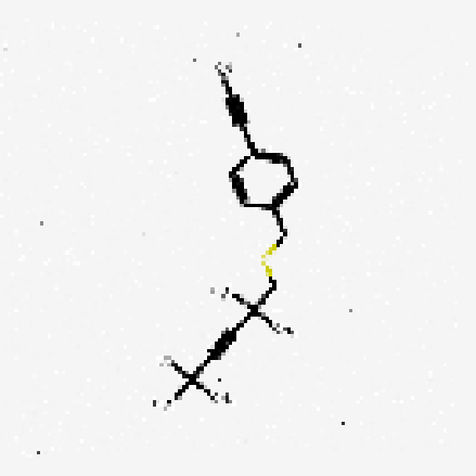 CCC(C)(C)C#CC(C)(C)CSCc1ccc(C#CC#N)cc1